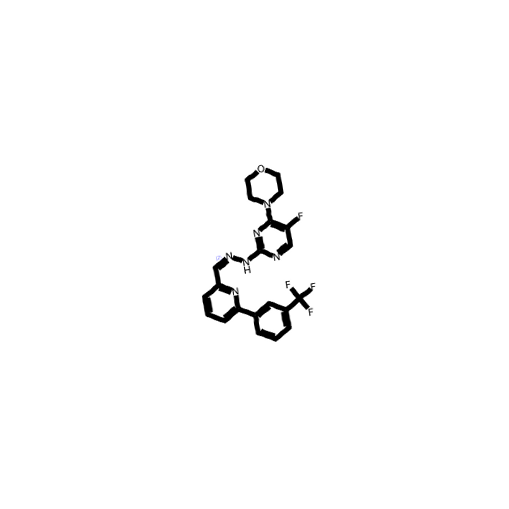 Fc1cnc(N/N=C\c2cccc(-c3cccc(C(F)(F)F)c3)n2)nc1N1CCOCC1